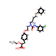 CCOC(Cc1ccc(OCCN(CCCCSc2ccccc2)C(=O)Nc2cccc(F)c2)cc1)C(=O)O